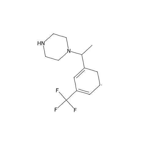 CC(C1=CC(C(F)(F)F)=C[CH]C1)N1CCNCC1